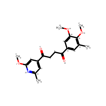 COc1cc(C(=O)CCC(=O)c2cc(C)c(OC)c(OC)c2)cc(C)n1